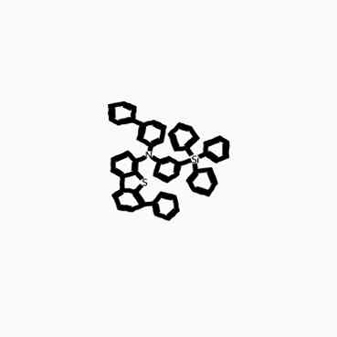 c1ccc(-c2cccc(N(c3cccc([Si](c4ccccc4)(c4ccccc4)c4ccccc4)c3)c3cccc4c3sc3c(-c5ccccc5)cccc34)c2)cc1